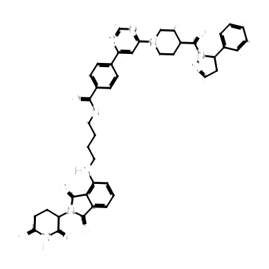 O=C1CCC(N2C(=O)c3cccc(NCCCCNC(=O)c4ccc(-c5cc(N6CCC(C(=O)N7N=CCC7c7ccccc7)CC6)ncn5)cc4)c3C2=O)C(=O)N1